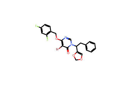 O=c1c(Br)c(OCc2ccc(F)cc2F)ncn1C(Cc1ccccc1)C1=COCO1